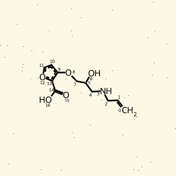 C=CCNCC(O)COc1ccoc1C(=O)O